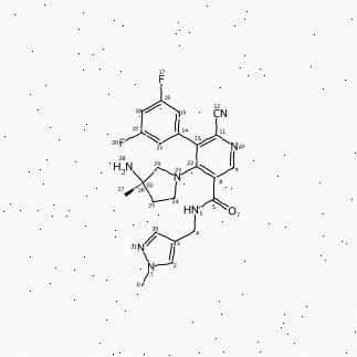 Cn1cc(CNC(=O)c2cnc(C#N)c(-c3cc(F)cc(F)c3)c2N2CC[C@](C)(N)C2)cn1